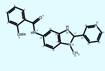 COc1ccccc1C(=O)Nc1ccc2c(c1)NC(c1cccnc1)N2C